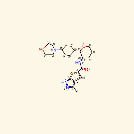 Cc1n[nH]c2sc(C(=O)N[C@@H]3CCCO[C@H]3C3CCC(N4CCOCC4)CC3)cc12